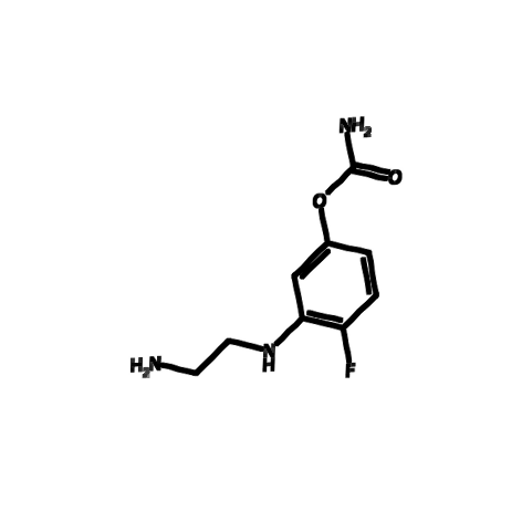 NCCNc1cc(OC(N)=O)ccc1F